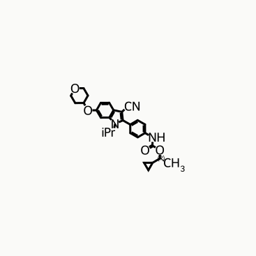 CC(C)n1c(-c2ccc(NC(=O)O[C@H](C)C3CC3)cc2)c(C#N)c2ccc(OC3CCOCC3)cc21